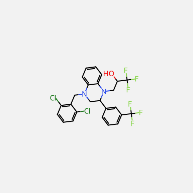 OC(CN1c2ccccc2N(Cc2c(Cl)cccc2Cl)CC1c1cccc(C(F)(F)F)c1)C(F)(F)F